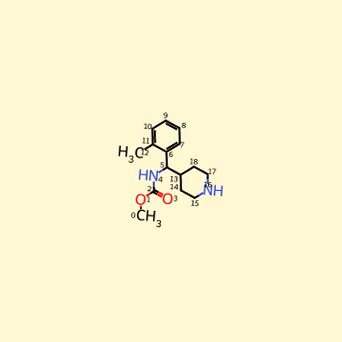 COC(=O)NC(c1ccccc1C)C1CCNCC1